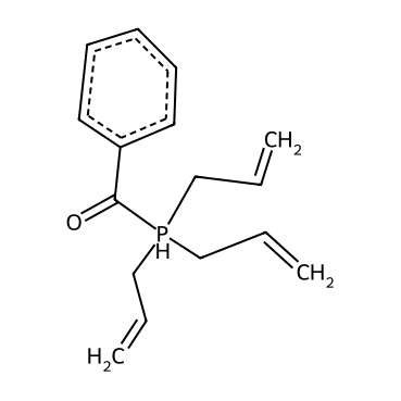 C=CC[PH](CC=C)(CC=C)C(=O)c1ccccc1